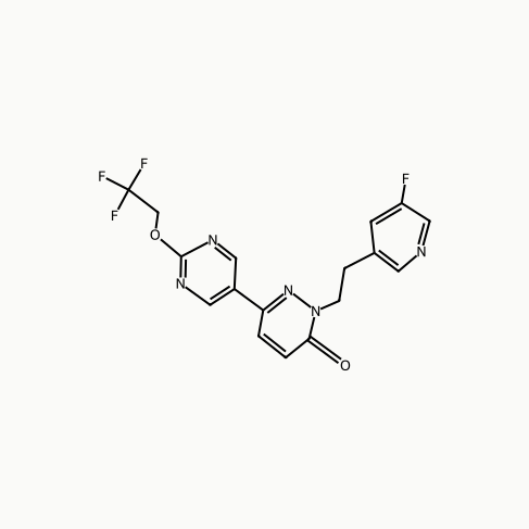 O=c1ccc(-c2cnc(OCC(F)(F)F)nc2)nn1CCc1cncc(F)c1